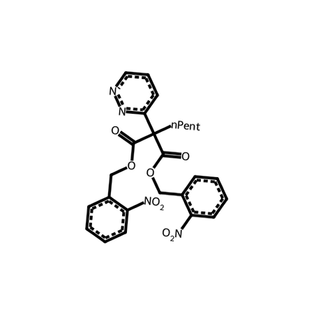 CCCCCC(C(=O)OCc1ccccc1[N+](=O)[O-])(C(=O)OCc1ccccc1[N+](=O)[O-])c1cccnn1